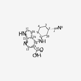 N#C[C@H]1CCC[C@H](Nc2c(C(=O)O)cnc3[nH]ccc23)C1